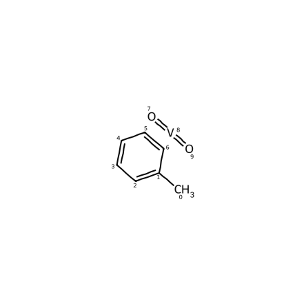 Cc1ccccc1.[O]=[V]=[O]